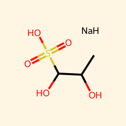 CC(O)C(O)S(=O)(=O)O.[NaH]